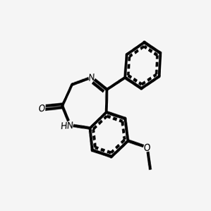 COc1ccc2c(c1)C(c1ccccc1)=NCC(=O)N2